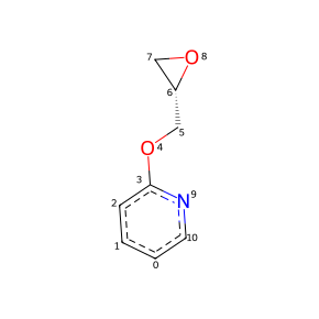 c1ccc(OC[C@@H]2CO2)nc1